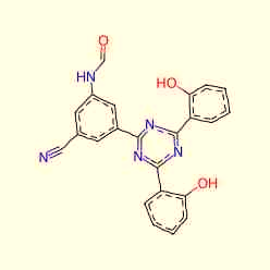 N#Cc1cc(NC=O)cc(-c2nc(-c3ccccc3O)nc(-c3ccccc3O)n2)c1